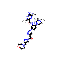 Cc1nc(C(=O)Nc2cc(-n3cc(C(=O)NCCCN4CCOCC4)nn3)ccc2N2CCN(C)[C@H](C)C2)c(C(F)(F)F)nc1N